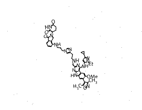 CCn1nc(C2CC2)cc1Nc1nc(CNCCc2cn(CCCNc3cccc4c3CN(C3CCC(=O)NC3=O)C4=O)cn2)nc2[nH]c3cc(-c4c(C)noc4C)c(OC)cc3c12